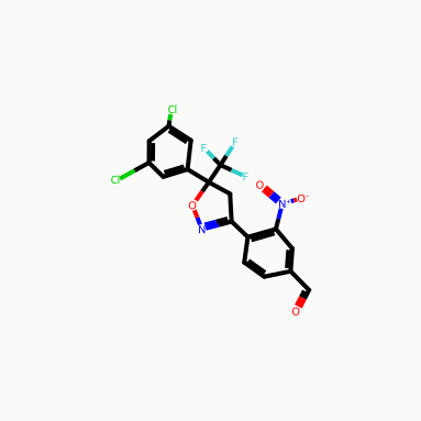 O=Cc1ccc(C2=NOC(c3cc(Cl)cc(Cl)c3)(C(F)(F)F)C2)c([N+](=O)[O-])c1